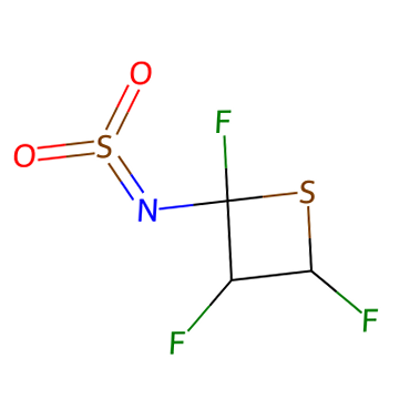 O=S(=O)=NC1(F)SC(F)C1F